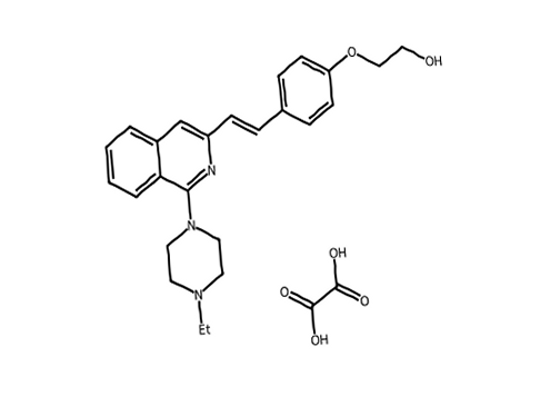 CCN1CCN(c2nc(C=Cc3ccc(OCCO)cc3)cc3ccccc23)CC1.O=C(O)C(=O)O